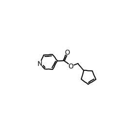 O=C(OCC1CC=CC1)c1ccncc1